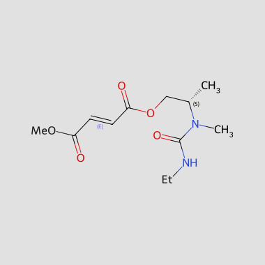 CCNC(=O)N(C)[C@@H](C)COC(=O)/C=C/C(=O)OC